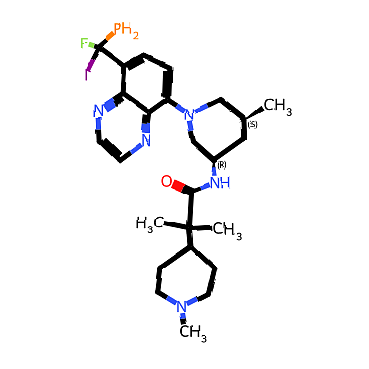 C[C@H]1C[C@@H](NC(=O)C(C)(C)C2CCN(C)CC2)CN(c2ccc(C(F)(P)I)c3nccnc23)C1